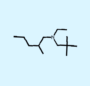 CCCC(C)CN(CC)CC(C)(C)C